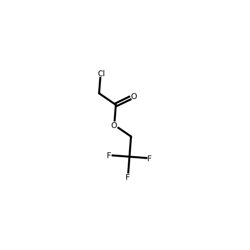 O=C(CCl)OCC(F)(F)F